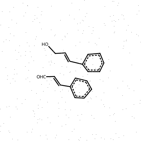 O=CC=Cc1ccccc1.OCC=Cc1ccccc1